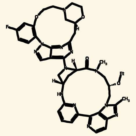 CCO[C@H]1CN(C)C(=O)[C@@H]2C[C@@H](CN2c2nc3nc4c2cnn4-c2ccc(F)cc2OCCN2CCO[C@H](C3)C2)Nc2cccc(n2)-c2nccc3nc(C)n(c23)C1